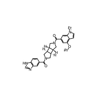 CCn1ccc2c(OC(C)C)cc(C(=O)N3C[C@@H]4[C@H]5CN(C(=O)c6ccc7[nH]nnc7c6)C[C@H]5[C@@H]4C3)cc21